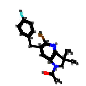 CC(=O)N1CC(C)(C)c2nc(Br)c(Cc3ccc(F)cc3)cc21